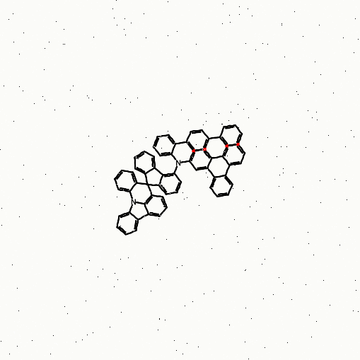 c1ccc(-c2ccc(-c3ccccc3N(c3ccc4c5ccccc5c5ccccc5c4c3)c3cccc4c3-c3ccccc3C43c4ccccc4-n4c5ccccc5c5cccc3c54)cc2)cc1